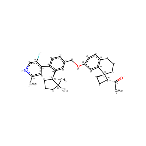 COC(=O)[C@@H]1CC[C@@]12CCCc1ccc(OCc3ccc(-c4cc(OC)ncc4F)c([C@@H]4CCCC4(C)C)c3)cc12